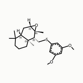 COc1cc(OC)cc(SC[C@@H]2[C@@]3(C)CCCC(C)(C)[C@@H]3C[C@@H]3O[C@@]32C)c1